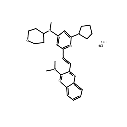 CN(C)c1nc2ccccc2nc1/C=C/c1nc(N2CCCC2)cc(N(C)C2CCOCC2)n1.Cl.Cl